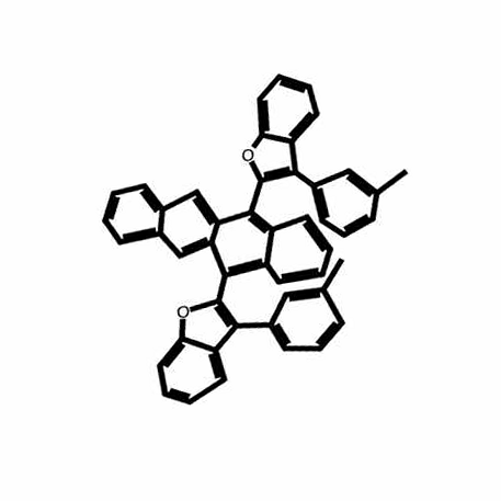 Cc1cccc(-c2c(-c3c4ccccc4c(-c4oc5ccccc5c4-c4cccc(C)c4)c4cc5ccccc5cc34)oc3ccccc23)c1